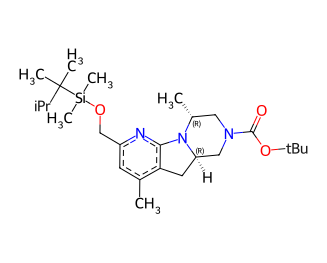 Cc1cc(CO[Si](C)(C)C(C)(C)C(C)C)nc2c1C[C@@H]1CN(C(=O)OC(C)(C)C)C[C@@H](C)N21